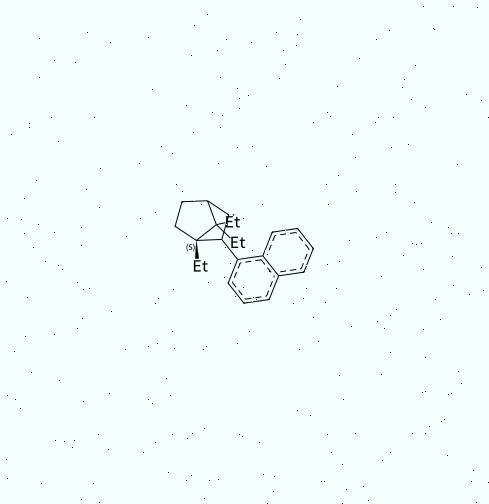 CCC1(CC)C2[CH]C(c3cccc4ccccc34)[C@]1(CC)CC2